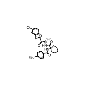 CCC[C@H](NC(=O)C1(NC(=O)c2ccc(C(C)(C)C)cc2)CCCCC1)C(=O)c1nc2cc(Cl)ccc2o1